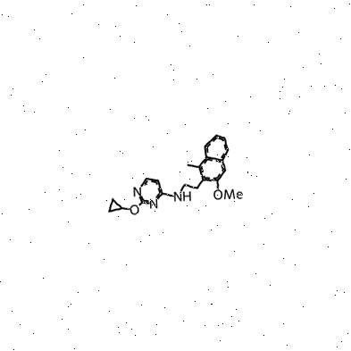 COc1cc2ccccc2c(C)c1CCNc1ccnc(OC2CC2)n1